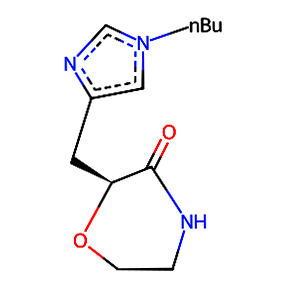 CCCCn1cnc(C[C@@H]2OCCNC2=O)c1